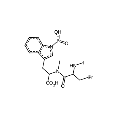 CC(C)CC(NI)C(=O)N(I)C(Cc1cn([PH](=O)O)c2ccccc12)C(=O)O